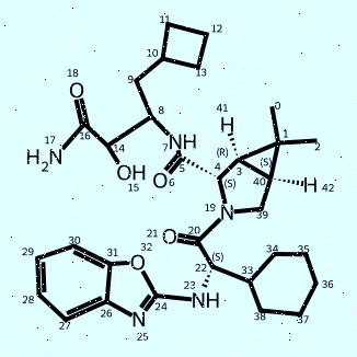 CC1(C)[C@@H]2[C@@H](C(=O)NC(CC3CCC3)C(O)C(N)=O)N(C(=O)[C@@H](Nc3nc4ccccc4o3)C3CCCCC3)C[C@@H]21